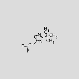 CC(C)(C)c1noc(CCC(F)F)n1